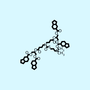 CN(C)CCCSC(=O)N(CCCC(=O)OC(COC(=O)C1CCC2CCCC2C1)COC(=O)C1CCC2CCCC2C1)CCCC(=O)OC(COC(=O)C1CCC2CCCC2C1)COC(=O)C1CCC2CCCC2C1